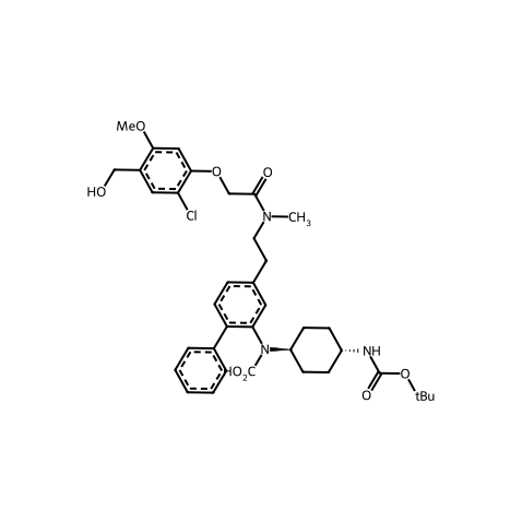 COc1cc(OCC(=O)N(C)CCc2ccc(-c3ccccc3)c(N(C(=O)O)[C@H]3CC[C@H](NC(=O)OC(C)(C)C)CC3)c2)c(Cl)cc1CO